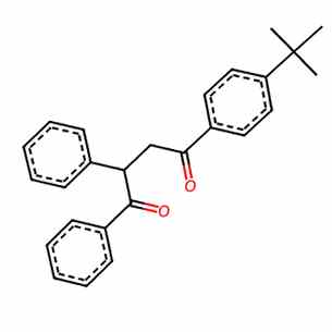 CC(C)(C)c1ccc(C(=O)CC(C(=O)c2ccccc2)c2ccccc2)cc1